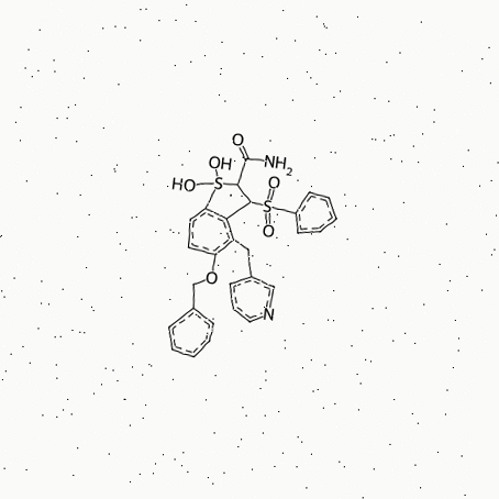 NC(=O)C1C(S(=O)(=O)c2ccccc2)c2c(ccc(OCc3ccccc3)c2Cc2cccnc2)S1(O)O